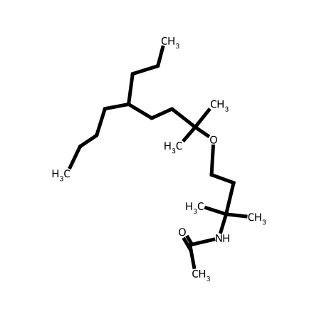 CCCCC(CCC)CCC(C)(C)OCCC(C)(C)NC(C)=O